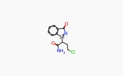 NC(=O)C(CCCl)[Se]1=NC(=O)c2ccccc21